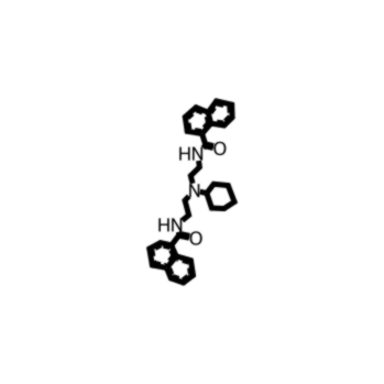 O=C(NCCN(CCNC(=O)c1cccc2ccccc12)C1CCCCC1)c1cccc2ccccc12